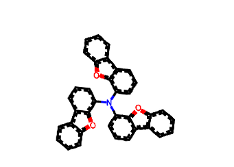 c1ccc2c(c1)oc1c(N(c3cccc4c3oc3ccccc34)c3cccc4c3oc3ccccc34)cccc12